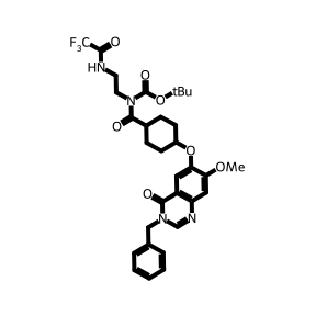 COc1cc2ncn(Cc3ccccc3)c(=O)c2cc1OC1CCC(C(=O)N(CCNC(=O)C(F)(F)F)C(=O)OC(C)(C)C)CC1